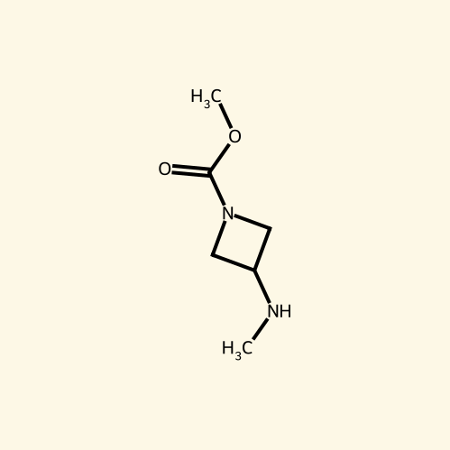 CNC1CN(C(=O)OC)C1